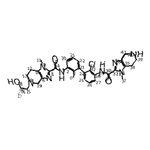 Cc1c(NC(=O)c2nc3c(n2C)CCN(C[C@H](C)O)C3)cccc1-c1cccc(NC(=O)c2nc3c(n2C)CCNC3)c1Cl